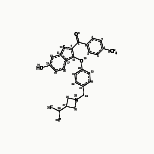 O=C(c1ccc(C(F)(F)F)cc1)c1sc2cc(O)ccc2c1Oc1ccc(CN2CC(C(F)F)C2)cc1